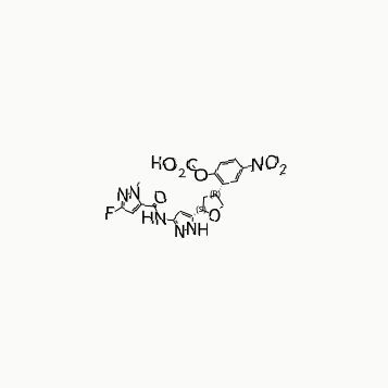 Cn1nc(F)cc1C(=O)Nc1cc([C@@H]2C[C@H](c3cc([N+](=O)[O-])ccc3OC(=O)O)CO2)[nH]n1